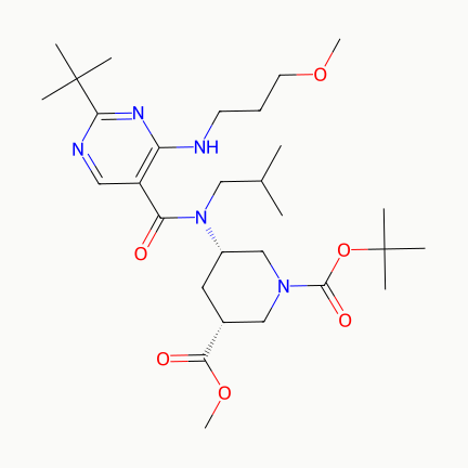 COCCCNc1nc(C(C)(C)C)ncc1C(=O)N(CC(C)C)[C@H]1C[C@@H](C(=O)OC)CN(C(=O)OC(C)(C)C)C1